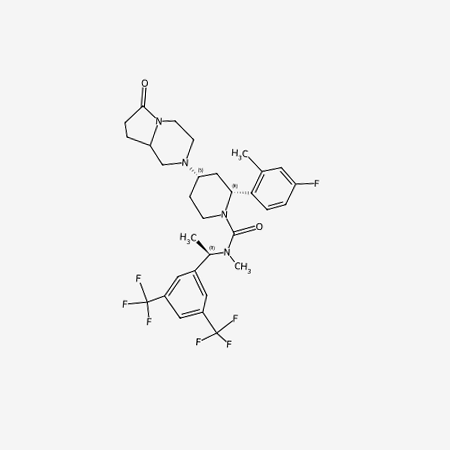 Cc1cc(F)ccc1[C@H]1C[C@@H](N2CCN3C(=O)CCC3C2)CCN1C(=O)N(C)[C@H](C)c1cc(C(F)(F)F)cc(C(F)(F)F)c1